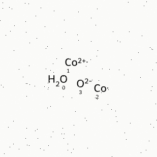 O.[Co+2].[Co].[O-2]